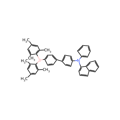 Cc1cc(C)c(B(c2ccc(-c3ccc(N(c4ccccc4)c4cccc5ccccc45)cc3)cc2)c2c(C)cc(C)cc2C)c(C)c1